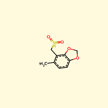 [CH2]c1ccc2c(c1C[SH](=O)=O)OCO2